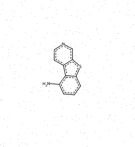 Nc1cccc2sc3cnccc3c12